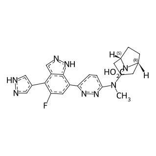 CN(c1ccc(-c2cc(F)c(-c3cn[nH]c3)c3cn[nH]c23)nn1)C1C[C@H]2CC[C@@H](C1)N2C(=O)O